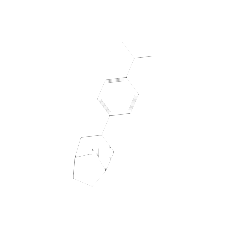 CC(C)c1ccc(C2CC3CCC(C2)N3)cc1